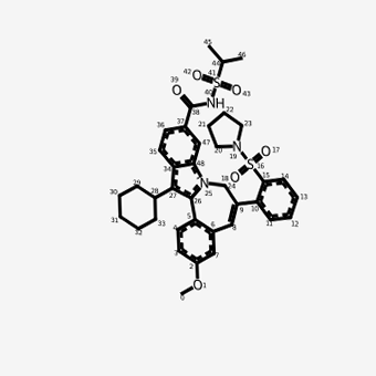 COc1ccc2c(c1)C=C(c1ccccc1S(=O)(=O)N1CCCC1)Cn1c-2c(C2CCCCC2)c2ccc(C(=O)NS(=O)(=O)C(C)C)cc21